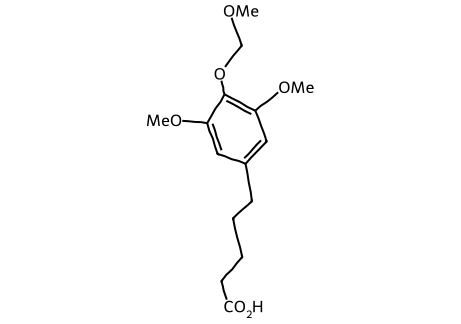 COCOc1c(OC)cc(CCCCC(=O)O)cc1OC